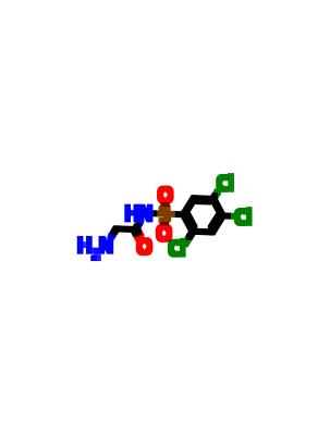 NCC(=O)NS(=O)(=O)c1cc(Cl)c(Cl)cc1Cl